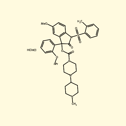 CCCOc1ccccc1C1(OC(=O)N2CCN(C3CCN(C)CC3)CC2)C(=O)N(S(=O)(=O)c2ccccc2C)c2ccc(OC)cc21.Cl.Cl